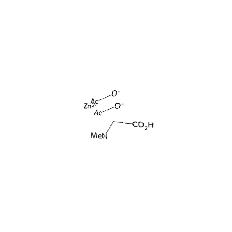 CC(=O)[O-].CC(=O)[O-].CNCC(=O)O.[Zn+2]